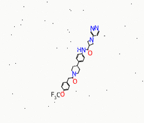 O=C(Nc1ccc(C2CCN(C(=O)Cc3ccc(OC(F)(F)F)cc3)CC2)cc1)C1CN(c2ccnnc2)C1